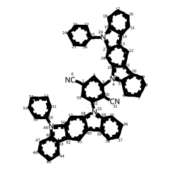 N#Cc1cc(-n2c3ccccc3c3cc4c5ccccc5n(-c5ccccc5)c4cc32)c(C#N)c(-n2c3ccccc3c3cc4c5ccccc5n(-c5ccccc5)c4cc32)c1